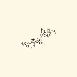 CC(=O)NCCC(C)(C)OCCOC(C)(C)CCNC(=O)CSC(C)C